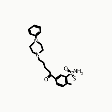 Cc1ccc(C(=O)CCCCN2CCN(c3ccccc3)CC2)cc1S(N)(=O)=S